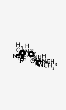 Cc1cc(NC2CCC(NC(=O)c3ccnc(NC(C)C)c3)CC2)cc(C(F)(F)F)c1C#N